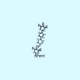 CCCCCc1cc(F)c(OCC2CCC(c3ccc(-c4cc(F)c(F)c(F)c4)cc3)CC2)c(F)c1